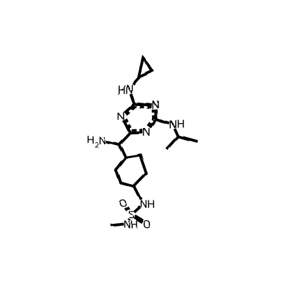 CNS(=O)(=O)NC1CCC(C(N)c2nc(NC(C)C)nc(NC3CC3)n2)CC1